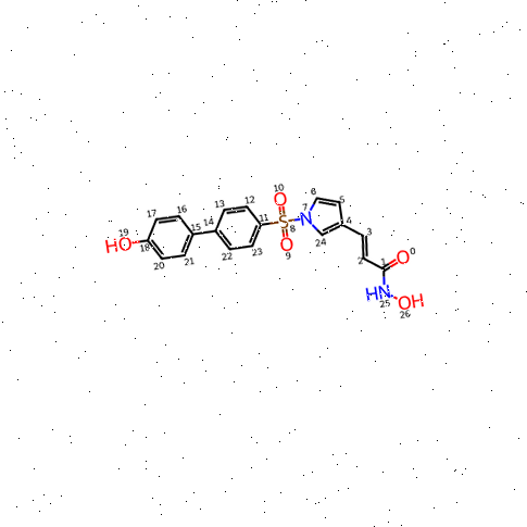 O=C(C=Cc1ccn(S(=O)(=O)c2ccc(-c3ccc(O)cc3)cc2)c1)NO